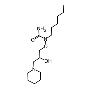 CCCCCCN(OCC(O)CN1CCCCC1)C(N)=O